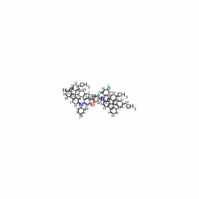 C=CC1=CCC(C2(C3=CC(C)CC=C3C)C3=C(CCC(N(C4=CC5OC6=C(C=CC(N(C7=CCC(F)C=C7F)c7ccc8c(c7)C(C7=CCC(C=C)C=C7)(C7=CC(C)CCC7C)C7=C8C=CCC7)C6)C5C=C4)C4C=CC(F)=CC4F)=C3)C3=C2CCC=C3)CC1